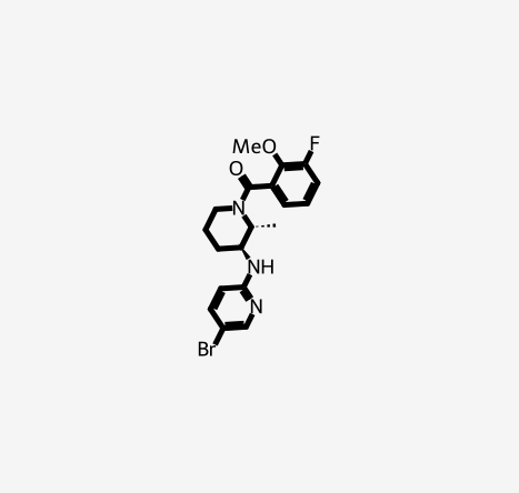 COc1c(F)cccc1C(=O)N1CCC[C@H](Nc2ccc(Br)cn2)[C@H]1C